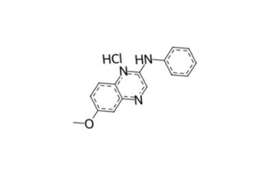 COc1ccc2nc(Nc3ccccc3)cnc2c1.Cl